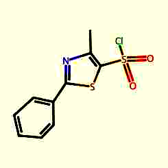 Cc1nc(-c2ccccc2)sc1S(=O)(=O)Cl